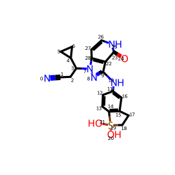 N#CCC(C1CC1)n1nc(Nc2ccc3c(c2)CCS3(O)O)c2c(=O)[nH]ccc21